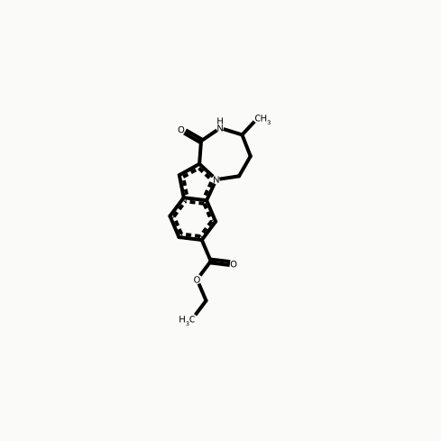 CCOC(=O)c1ccc2cc3n(c2c1)CCC(C)NC3=O